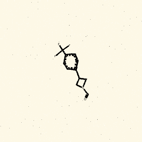 O=CN1CC(c2ccc(C(F)(F)F)cc2)C1